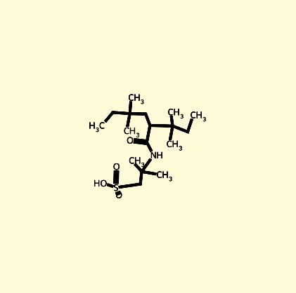 CCC(C)(C)CC(C(=O)NC(C)(C)CS(=O)(=O)O)C(C)(C)CC